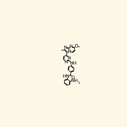 COc1ccn2c(-c3ccnc(Nc4ccc(C(=O)Nc5ccccc5N)cc4)n3)c(C)nc2n1